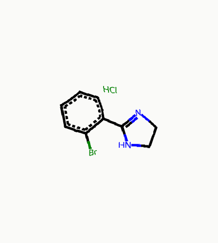 Brc1ccccc1C1=NCCN1.Cl